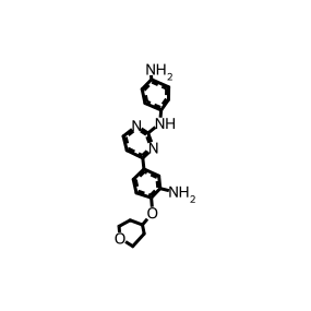 Nc1ccc(Nc2nccc(-c3ccc(OC4CCOCC4)c(N)c3)n2)cc1